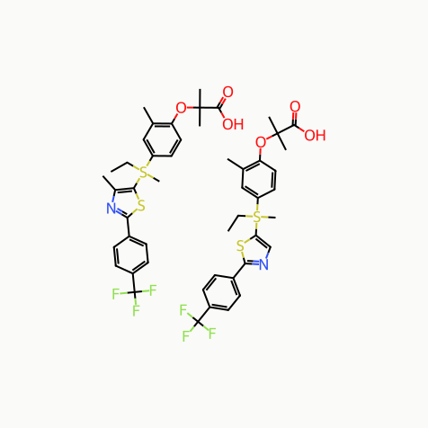 CCS(C)(c1ccc(OC(C)(C)C(=O)O)c(C)c1)c1cnc(-c2ccc(C(F)(F)F)cc2)s1.CCS(C)(c1ccc(OC(C)(C)C(=O)O)c(C)c1)c1sc(-c2ccc(C(F)(F)F)cc2)nc1C